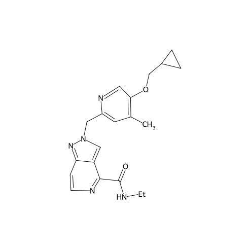 CCNC(=O)c1nccc2nn(Cc3cc(C)c(OCC4CC4)cn3)cc12